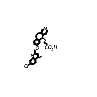 O=C(O)CCSC1c2ccncc2CCc2ccc(OCc3cc(F)c4ccc(Cl)cc4n3)cc21